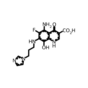 Nc1c(F)c(NCCCn2ccnc2)c(O)c2[nH]cc(C(=O)O)c(=O)c12